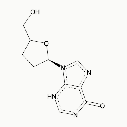 O=c1nc[nH]c2c1ncn2[C@H]1CCC(CO)O1